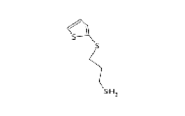 [SiH3]CCCSc1cccs1